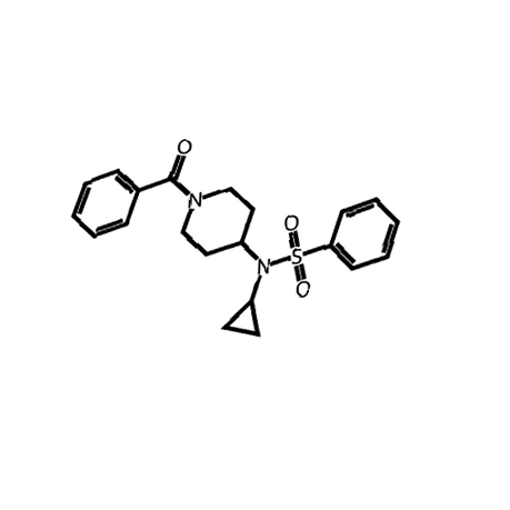 O=C(c1ccccc1)N1CCC(N(C2CC2)S(=O)(=O)c2ccccc2)CC1